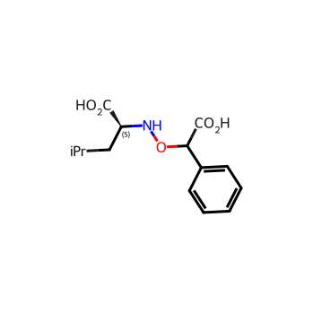 CC(C)C[C@H](NOC(C(=O)O)c1ccccc1)C(=O)O